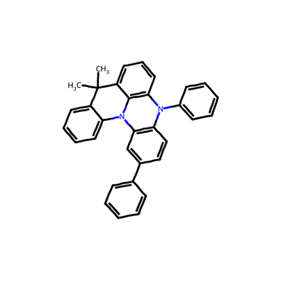 CC1(C)c2ccccc2N2c3cc(-c4ccccc4)ccc3N(c3ccccc3)c3cccc1c32